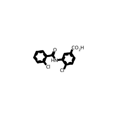 O=C(O)c1ccc(Cl)c(NC(=O)c2ccccc2Cl)c1